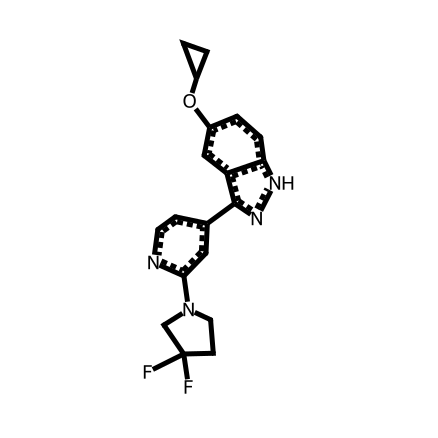 FC1(F)CCN(c2cc(-c3n[nH]c4ccc(OC5CC5)cc34)ccn2)C1